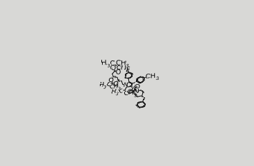 Cc1ccc(-c2c(S(=O)(=O)N3CCC(Cc4ccccc4)CC3)c(C(C)C)n(CC[C@@H]3C[C@H](CC(=O)OC(C)(C)C)OC(C)(C)O3)c2-c2ccc(F)cc2)cc1